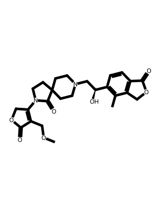 COCC1=C(N2CCC3(CCN(C[C@H](O)c4ccc5c(c4C)COC5=O)CC3)C2=O)COC1=O